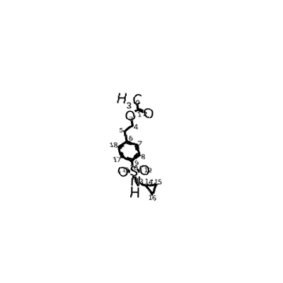 CC(=O)OCCc1ccc(S(=O)(=O)NC2CC2)cc1